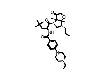 CCC[C@@H]1CN(C(=O)C(CC(C)(C)C)NC(=O)c2ccc(N3CCN(CC)CC3)cc2)[C@@H]2C(=O)CO[C@H]12